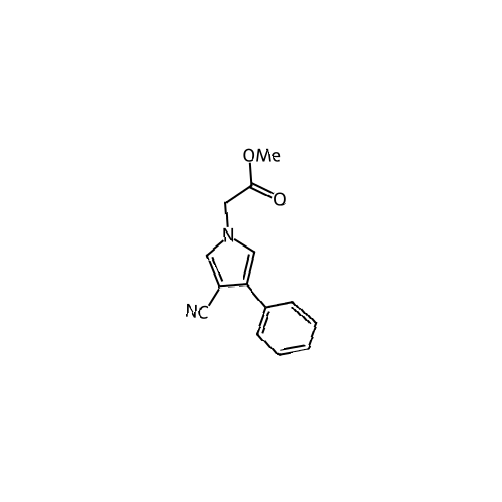 COC(=O)Cn1cc(C#N)c(-c2ccccc2)c1